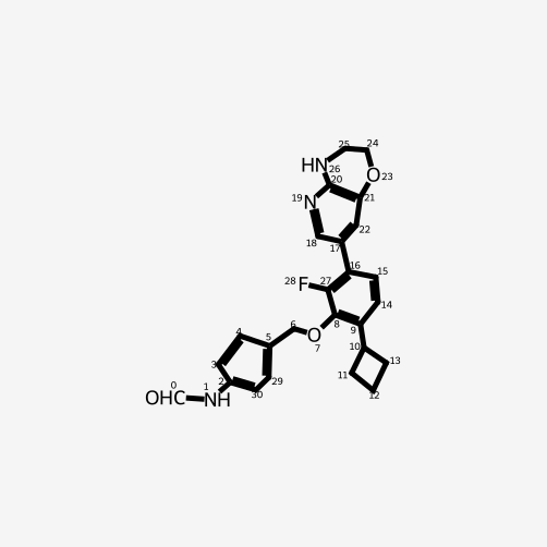 O=CNc1ccc(COc2c(C3CCC3)ccc(-c3cnc4c(c3)OCCN4)c2F)cc1